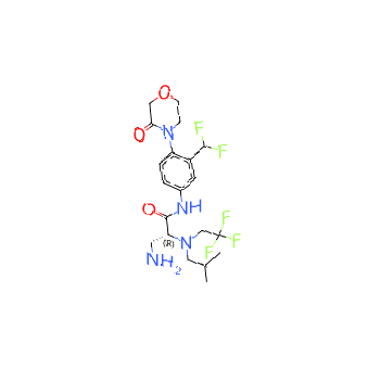 CC(C)CN(CC(F)(F)F)[C@H](CN)C(=O)Nc1ccc(N2CCOCC2=O)c(C(F)F)c1